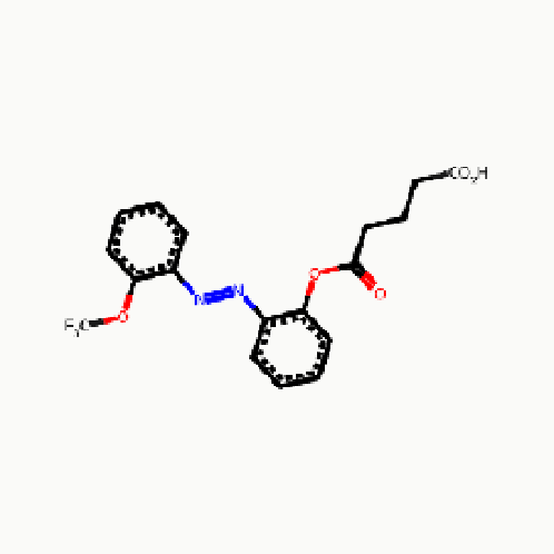 O=C(O)CCCC(=O)Oc1ccccc1N=Nc1ccccc1OC(F)(F)F